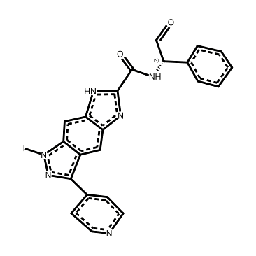 O=C[C@@H](NC(=O)c1nc2cc3c(-c4ccncc4)nn(I)c3cc2[nH]1)c1ccccc1